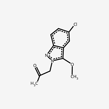 COc1c2cc(Cl)ccc2nn1CC(C)=O